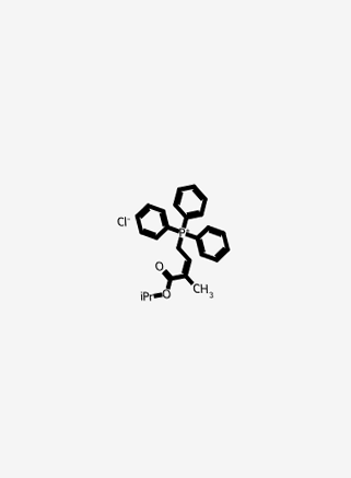 C/C(=C/C[P+](c1ccccc1)(c1ccccc1)c1ccccc1)C(=O)OC(C)C.[Cl-]